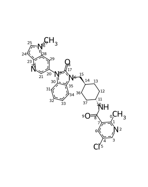 Cc1ncc(Cl)cc1C(=O)N[C@H]1CC[C@H](Cn2c(=O)n(-c3cnc4ccn(C)c4c3)c3ccccc32)CC1